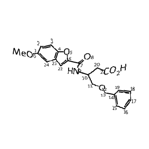 COc1ccc2oc(C(=O)NC(COCc3ccccc3)CC(=O)O)cc2c1